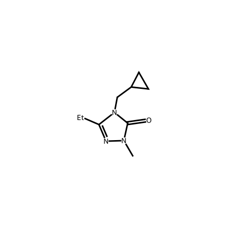 CCc1nn(C)c(=O)n1CC1CC1